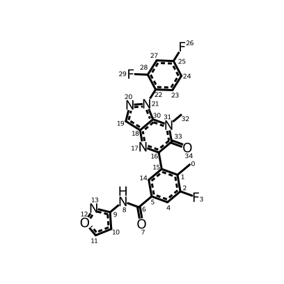 Cc1c(F)cc(C(=O)Nc2ccon2)cc1-c1nc2cnn(-c3ccc(F)cc3F)c2n(C)c1=O